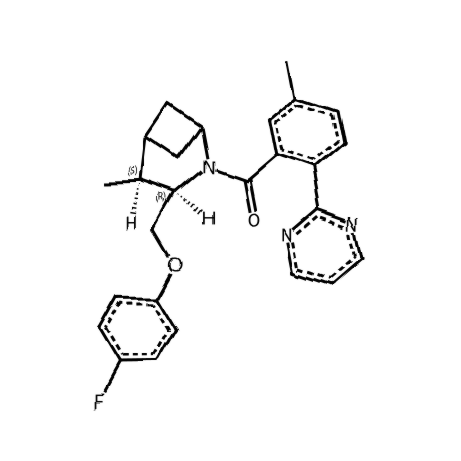 Cc1ccc(-c2ncccn2)c(C(=O)N2C3CC(C3)[C@H](C)[C@@H]2COc2ccc(F)cc2)c1